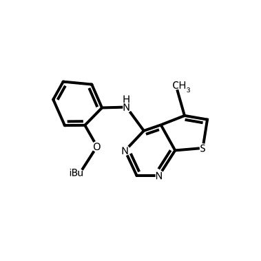 CCC(C)Oc1ccccc1Nc1ncnc2scc(C)c12